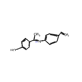 C=Cc1ccc(/N=C(\C)c2ccc(O)cc2)cc1